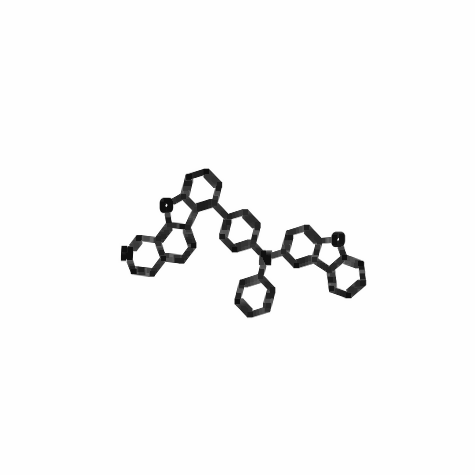 c1ccc(N(c2ccc(-c3cccc4oc5c6cnccc6ccc5c34)cc2)c2ccc3oc4ccccc4c3c2)cc1